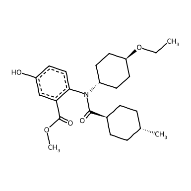 CCO[C@H]1CC[C@H](N(c2ccc(O)cc2C(=O)OC)C(=O)[C@H]2CC[C@H](C)CC2)CC1